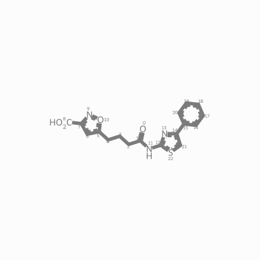 O=C(CCCc1cc(C(=O)O)no1)Nc1nc(-c2ccccc2)cs1